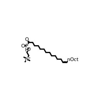 CCCCCCCC/C=C\CCCCCCCCCCCC(=O)[PH](=O)OCC[N+](C)(C)C